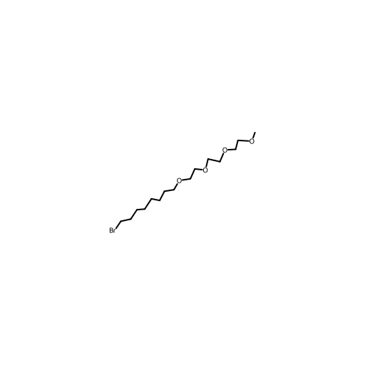 COCCOCCOCCOCCCCCCCCBr